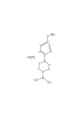 CN(C)C1CCN(c2ccc(CN)cn2)CC1.Cl.Cl